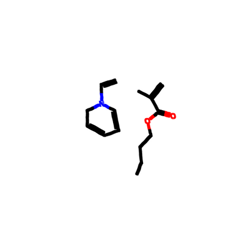 C=C(C)C(=O)OCCCC.C=CN1C=CC=CC1